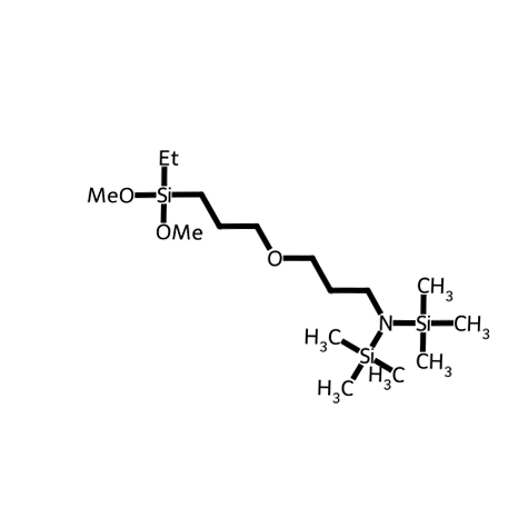 CC[Si](CCCOCCCN([Si](C)(C)C)[Si](C)(C)C)(OC)OC